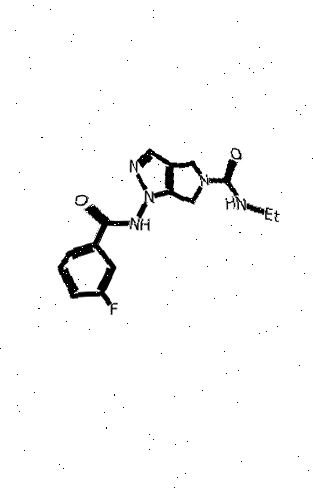 CCNC(=O)N1Cc2cnn(NC(=O)c3cccc(F)c3)c2C1